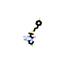 CC(C)(SCCCc1ccc(F)cc1)[C@H](N)C(=O)N1C[C@@H](F)C[C@H]1C#N